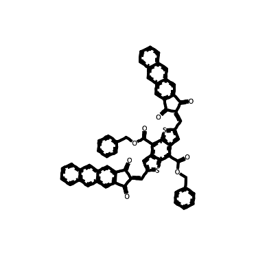 O=C1C(=Cc2cc3c(C(=O)OCc4ccccc4)c4sc(C=C5C(=O)c6cc7cc8ccccc8cc7cc6C5=O)cc4c(C(=O)OCc4ccccc4)c3s2)C(=O)c2cc3cc4ccccc4cc3cc21